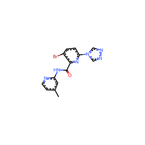 Cc1ccnc(NC(=O)c2nc(-n3cnnc3)ccc2Br)c1